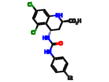 CCc1ccc(NC(=O)N[C@H]2C[C@H](C(=O)O)Nc3cc(Cl)cc(Cl)c32)cc1